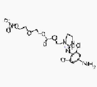 Nc1cc(Cl)c(/N=C2\NCCN2COC(=O)OCCOCCO[N+](=O)[O-])c(Cl)c1